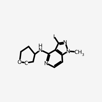 Cn1nc(I)c2c(NC3CCOCC3)nccc21